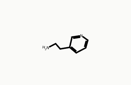 NCCc1[c]nccc1